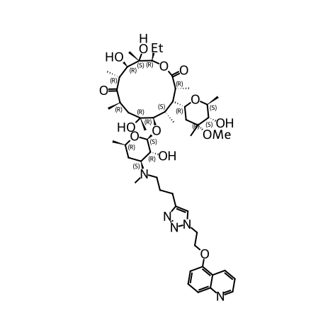 CC[C@H]1OC(=O)[C@H](C)C([C@H]2C[C@@](C)(OC)[C@@H](O)[C@H](C)O2)[C@H](C)[C@@H](O[C@@H]2O[C@H](C)C[C@H](N(C)CCCc3cn(CCOc4cccc5ncccc45)nn3)[C@H]2O)[C@](C)(O)C[C@@H](C)C(=O)[C@H](C)[C@@H](O)[C@]1(C)O